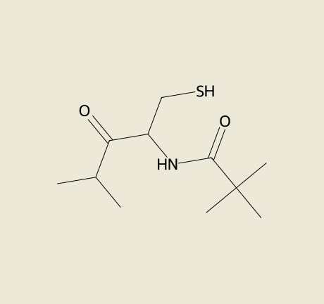 CC(C)C(=O)C(CS)NC(=O)C(C)(C)C